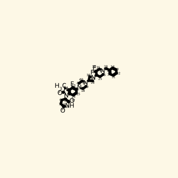 Cn1c(=O)n(C2CCC(=O)NC2=O)c2ccc(N3CCN(C4CN(C5CCN(Cc6ccccc6)CC5(F)F)C4)CC3)c(F)c21